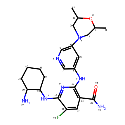 CC1CN(c2cncc(Nc3nc(NC4CCCCC4N)c(F)cc3C(N)=O)c2)CC(C)O1